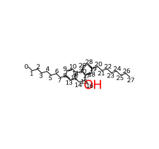 CCCCCCCCc1ccc2c(c1)CC(O)c1cc(CCCCCCCC)ccc1-2